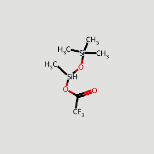 C[SiH](OC(=O)C(F)(F)F)O[Si](C)(C)C